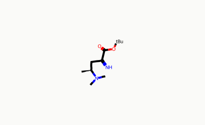 C[C@@H](CC(=N)C(=O)OC(C)(C)C)N(C)C